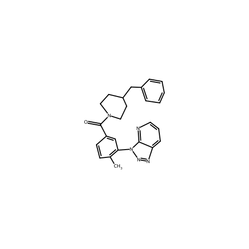 Cc1ccc(C(=O)N2CCC(Cc3ccccc3)CC2)cc1-n1nnc2cccnc21